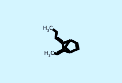 CC=C1C(=CCC)C2C=CC1C2